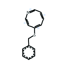 C1=C\C=C(SCc2ccccc2)/C=C\N=C/1